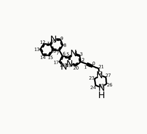 C(#Cc1cnc2c(-c3ccnc4ccccc34)cnn2c1)CN1CCNCC1